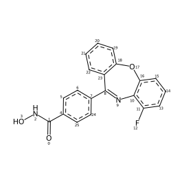 O=C(NO)c1ccc(C2=Nc3c(F)cccc3Oc3ccccc32)cc1